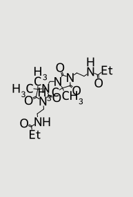 CCC(=O)NCCN1C(=O)N(CN2C(=O)N(CCNC(=O)CC)C(=O)C2(C)C)C(C)(C)C1=O